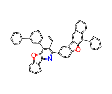 C=Cc1c(-c2ccc3oc4c(-c5ccccc5)c5ccccc5cc4c3c2)nc2c(oc3ccccc32)c1-c1cccc(-c2ccccc2)c1